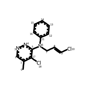 Cc1cnnc(N(CC=CCl)c2ccccc2)c1Cl